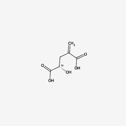 C=C(C[C@H](O)C(=O)O)C(=O)O